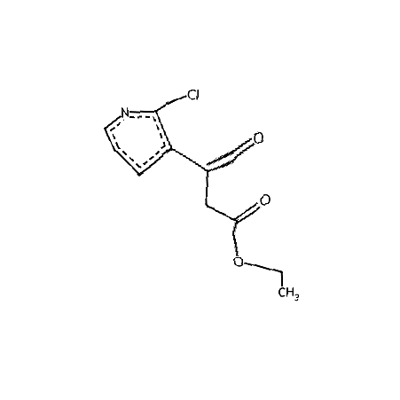 CCOC(=O)CC(=C=O)c1cccnc1Cl